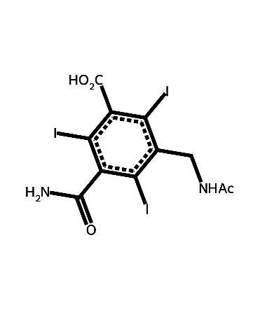 CC(=O)NCc1c(I)c(C(N)=O)c(I)c(C(=O)O)c1I